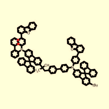 CC(C)(C)c1ccc2c(c1)C1(c3ccccc3-c3ccccc31)c1cc(N(c3ccc(-c4ccc(CC(C)(C)c5ccc6c(c5)C5(c7ccccc7-c7ccccc75)c5cc(N(c7ccc(-c8cccc9c8oc8ccccc89)cc7)c7ccccc7-c7ccccc7)ccc5-6)cc4)cc3)c3ccc(-c4cccc5c4oc4ccccc45)cc3)ccc1-2